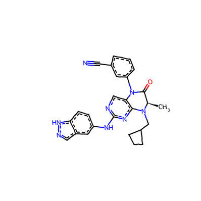 C[C@@H]1C(=O)N(c2cccc(C#N)c2)c2cnc(Nc3ccc4[nH]ncc4c3)nc2N1CC1CCC1